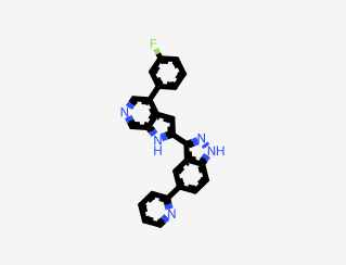 Fc1cccc(-c2cncc3[nH]c(-c4n[nH]c5ccc(-c6ccccn6)cc45)cc23)c1